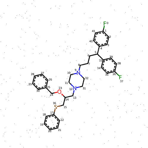 Fc1ccc(C(CCCN2CCN(CC(CSc3ccccc3)OCc3ccccc3)CC2)c2ccc(F)cc2)cc1